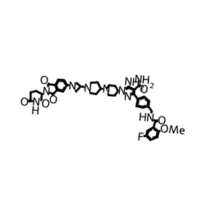 COc1ccc(F)cc1C(=O)NCc1ccc(-c2nn(C3CCN(C4CCN(C5CN(c6ccc7c(c6)C(=O)N(C6CCC(=O)NC6=O)C7=O)C5)CC4)CC3)c(N)c2C(N)=O)cc1